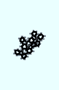 c1ccc([Si](c2ccccc2)(c2ccccc2)c2ccc(-n3c4ccccc4c4cc(-n5c6ccccc6c6cccc(-c7ccc8c(c7)oc7ccccc78)c65)ccc43)cc2)cc1